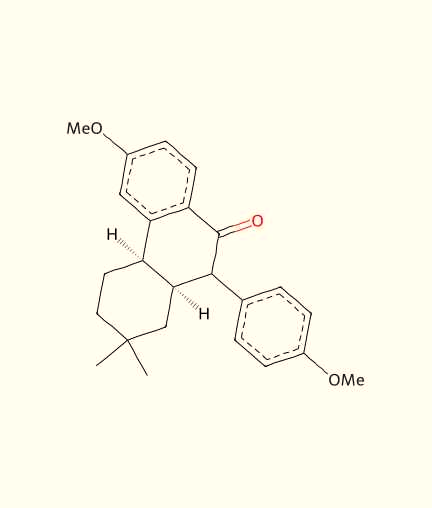 COc1ccc(C2C(=O)c3ccc(OC)cc3[C@@H]3CCC(C)(C)C[C@H]23)cc1